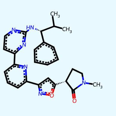 CC(C)[C@@H](Nc1nccc(-c2cccc(-c3cc([C@@H]4CCN(C)C4=O)on3)n2)n1)c1ccccc1